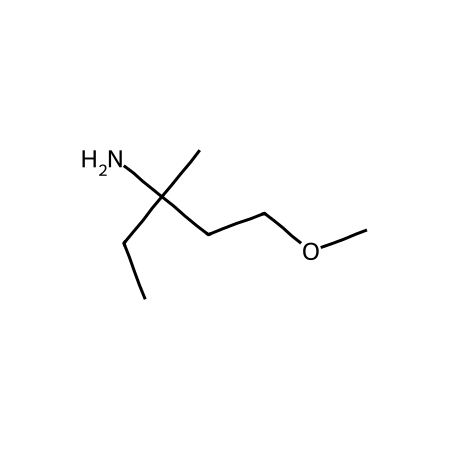 CCC(C)(N)CCOC